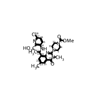 COC(=O)N1CCN(c2nc3c(C(C)Nc4ccc(Cl)nc4C(=O)O)cc(C)cc3c(=O)n2C)CC1